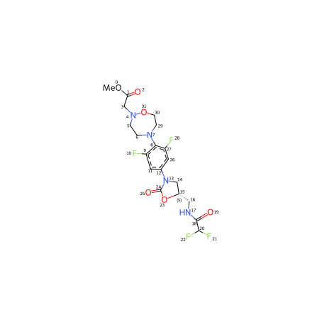 COC(=O)CN1CCN(c2c(F)cc(N3C[C@H](CNC(=O)C(F)F)OC3=O)cc2F)CCO1